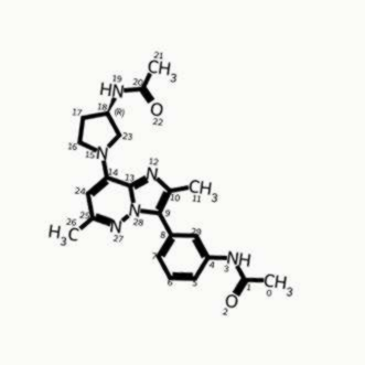 CC(=O)Nc1cccc(-c2c(C)nc3c(N4CC[C@@H](NC(C)=O)C4)cc(C)nn23)c1